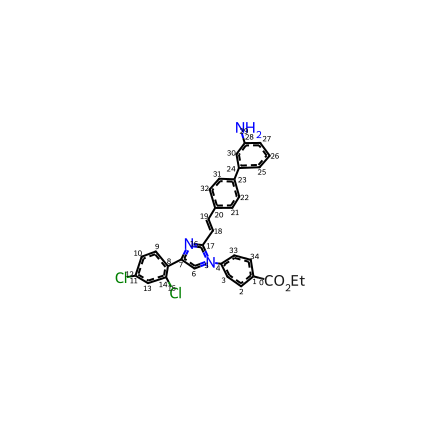 CCOC(=O)c1ccc(-n2cc(-c3ccc(Cl)cc3Cl)nc2C=Cc2ccc(-c3cccc(N)c3)cc2)cc1